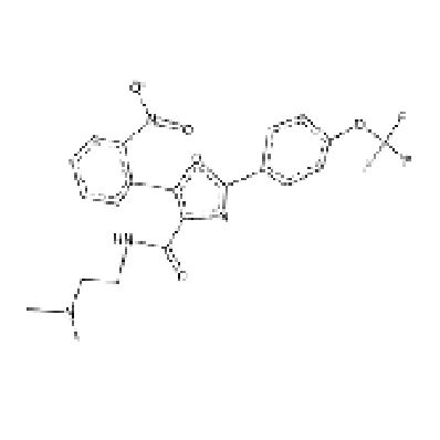 CN(C)CCNC(=O)c1nc(-c2ccc(OC(F)(F)F)cc2)oc1-c1ccccc1[N+](=O)[O-]